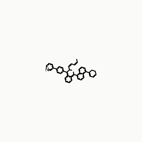 C/C=C\C=C/C(C)/C(c1ccc(-c2cccnc2)cc1)=c1/cccc/c1=C(/C)c1cccc2c(C3=CC=CCC3)cccc12